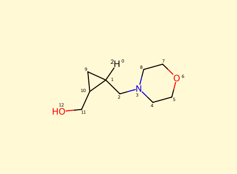 [2H]C1(CN2CCOCC2)CC1CO